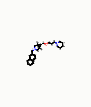 c1ccc2cc(CN3C[C@@H]4[C@H](COCCCN5CCCCC5)[C@@H]4C3)ccc2c1